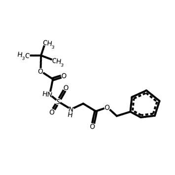 CC(C)(C)OC(=O)NS(=O)(=O)NCC(=O)OCc1ccccc1